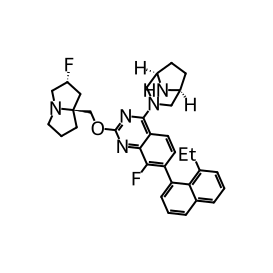 CCc1cccc2cccc(-c3ccc4c(N5C[C@H]6CC[C@@H](C5)N6)nc(OC[C@@]56CCCN5C[C@H](F)C6)nc4c3F)c12